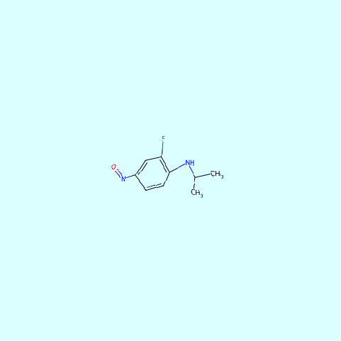 CC(C)Nc1ccc(N=O)cc1F